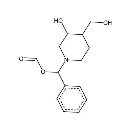 O=COC(c1ccccc1)N1CCC(CO)C(O)C1